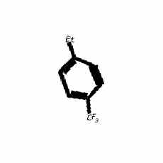 CCc1c#cc(C(F)(F)F)cc1